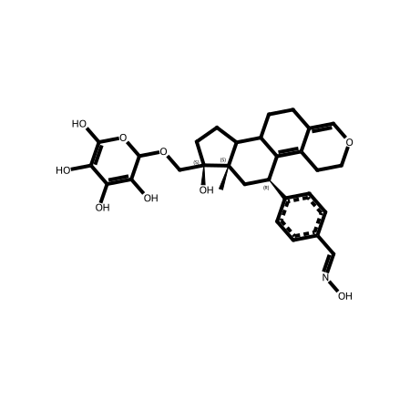 C[C@]12C[C@H](c3ccc(C=NO)cc3)C3=C4CCOC=C4CCC3C1CC[C@@]2(O)COC1OC(O)=C(O)C(O)=C1O